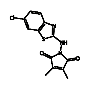 CC1=C(C)C(=O)N(Nc2nc3ccc(Cl)cc3s2)C1=O